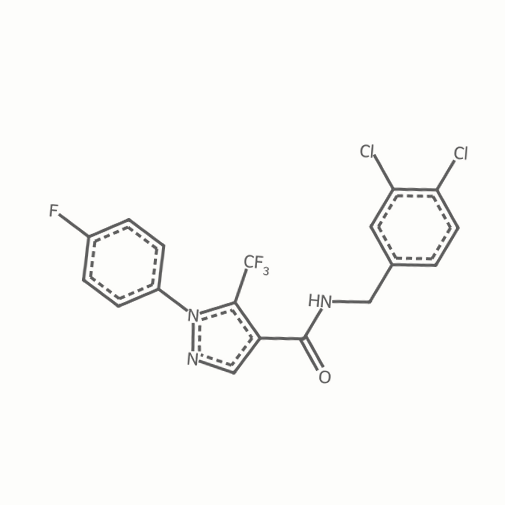 O=C(NCc1ccc(Cl)c(Cl)c1)c1cnn(-c2ccc(F)cc2)c1C(F)(F)F